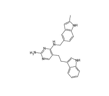 Cc1cc2cc(CNc3nc(N)ncc3CCc3c[nH]c4ccccc34)ccc2[nH]1